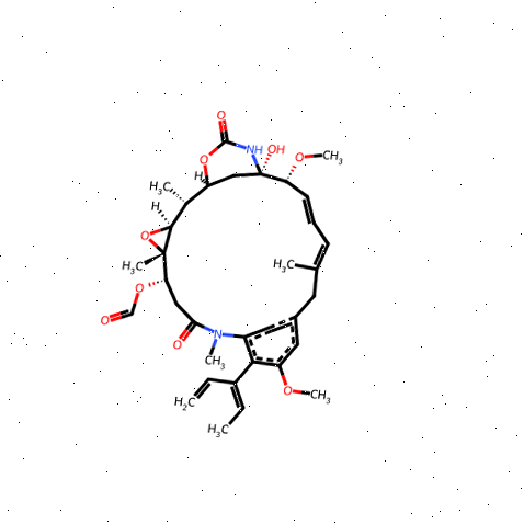 C=C/C(=C\C)c1c(OC)cc2cc1N(C)C(=O)C[C@H](OC=O)[C@]1(C)O[C@H]1[C@H](C)[C@@H]1C[C@@](O)(NC(=O)O1)[C@H](OC)/C=C/C=C(\C)C2